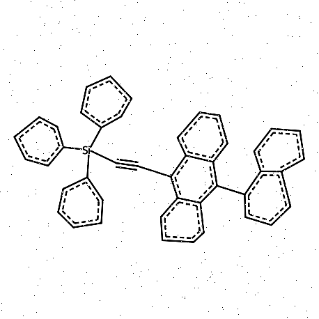 C(#C[Si](c1ccccc1)(c1ccccc1)c1ccccc1)c1c2ccccc2c(-c2cccc3ccccc23)c2ccccc12